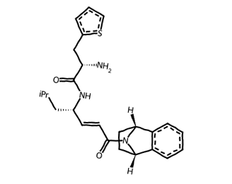 CC(C)C[C@@H](/C=C/C(=O)N1[C@@H]2CC[C@H]1c1ccccc12)NC(=O)[C@@H](N)Cc1cccs1